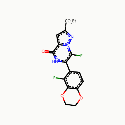 CCOC(=O)c1cc2c(=O)[nH]c(-c3ccc4c(c3F)OCCO4)c(F)n2n1